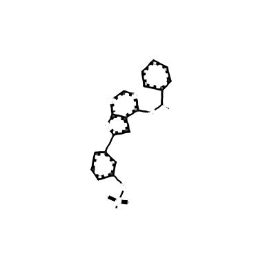 CCS(=O)(=O)Nc1cccc(-c2cc3c(N[C@H](C)c4ccccc4)ncnc3[nH]2)c1